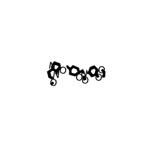 COc1ccc2nccc(OCC3CCC4(CC3)CN(c3ccc5c(c3)OCCO5)C(=O)O4)c2n1